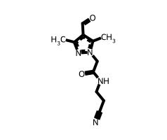 Cc1nn(CC(=O)NCCC#N)c(C)c1C=O